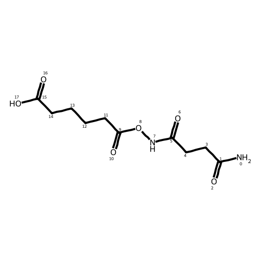 NC(=O)CCC(=O)NOC(=O)CCCCC(=O)O